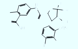 COc1c([C@@H]2[C@H](C(=O)Nc3ccc(F)c(C(N)=O)c3)O[C@@](C)(C(F)(F)F)[C@H]2C)ccc(F)c1F